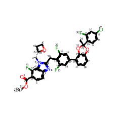 CC(C)(C)OC(=O)c1ccc2nc(Cc3c(F)cc(-c4cccc5c4OC(C)(c4ccc(Cl)cc4F)O5)cc3F)n(C[C@@H]3CCO3)c2c1F